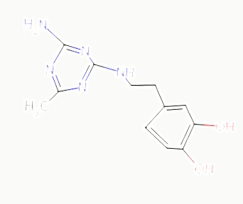 Cc1nc(N)nc(NCCc2ccc(O)c(O)c2)n1